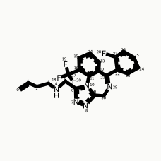 C=CCCNCc1nnc2n1-c1c(cccc1C(F)(F)F)C(c1ccccc1F)=NC2